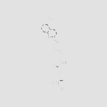 CNC(=O)COC(=O)NCCC1CCN(c2ccc3c(OC)cccc3n2)CC1